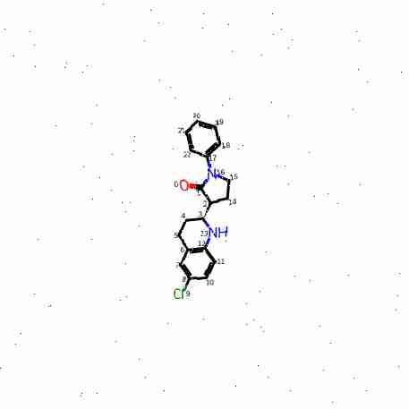 O=C1C([C@@H]2CCc3cc(Cl)ccc3N2)CCN1c1ccccc1